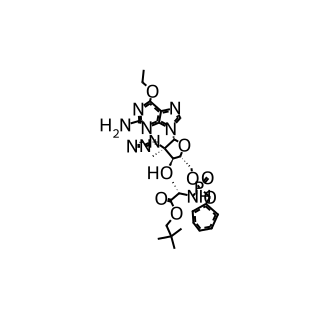 CCOc1nc(N)nc2c1ncn2[C@@H]1O[C@H](COP(=O)(N[C@@H](C)C(=O)OCC(C)(C)C)Oc2ccccc2)[C@@H](O)[C@@]1(C)N=[N+]=[N-]